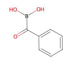 O=C(B(O)O)c1ccccc1